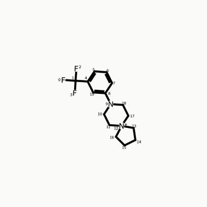 FC(F)(F)c1cccc(N2CC[N+]3(CCCC3)CC2)c1